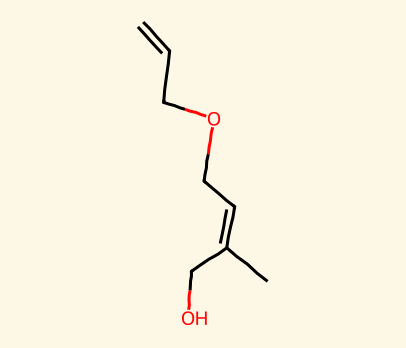 C=CCOCC=C(C)CO